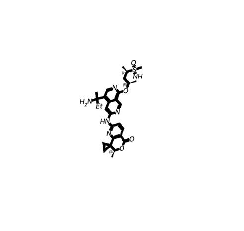 CCC(C)(N)c1cnc(O[C@H](C)C[C@@H](C)S(C)(=N)=O)c2cnc(Nc3ccc4c(n3)C3(CC3)[C@H](C)OC4=O)cc12